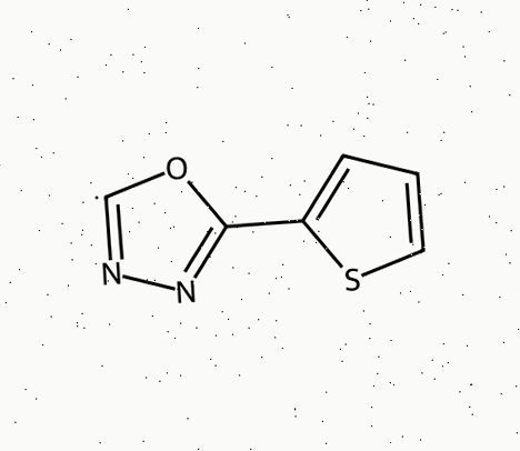 [c]1nnc(-c2cccs2)o1